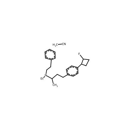 CC#N.CCN(CCc1ccccc1)C(C)CCc1ccc(C2CCC2F)cc1